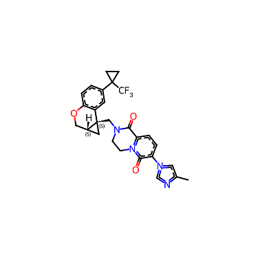 Cc1cn(-c2ccc3n(c2=O)CCN(C[C@@]24C[C@@H]2COc2ccc(C5(C(F)(F)F)CC5)cc24)C3=O)cn1